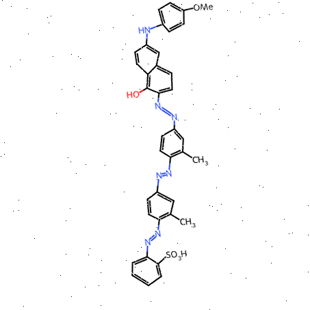 COc1ccc(Nc2ccc3c(O)c(N=Nc4ccc(N=Nc5ccc(N=Nc6ccccc6S(=O)(=O)O)c(C)c5)c(C)c4)ccc3c2)cc1